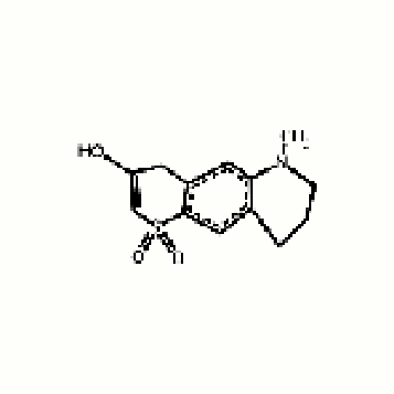 CN1CCCc2cc3c(cc21)CC(O)=CS3(=O)=O